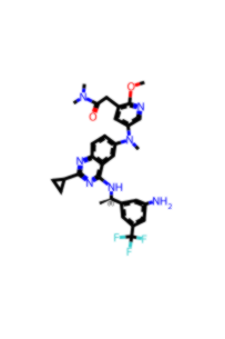 COc1ncc(N(C)c2ccc3nc(C4CC4)nc(N[C@H](C)c4cc(N)cc(C(F)(F)F)c4)c3c2)cc1CC(=O)N(C)C